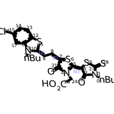 CCCCN1C(=O)/C(=c2/s/c(=C/C=C3\Sc4ccc(Cl)cc4N3CCCC)c(=O)n2CC(=O)O)SC1=S